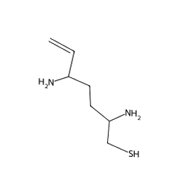 C=CC(N)CCC(N)CS